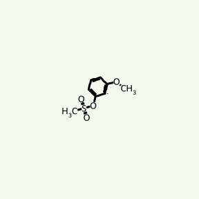 COc1[c]c(OS(C)(=O)=O)ccc1